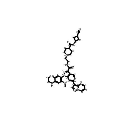 COc1cc2c(cc1-n1nc(C(=O)NCCN3CCC(C(=O)OC4CC(C#N)C4)CC3)c3cnc(-c4cnn5cccnc45)cc31)OCCN2